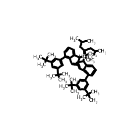 CC(C)C[C](CC(C)C)=[Hf]([CH3])([CH3])([CH]1C=Cc2c(-c3cc(C(C)(C)C)cc(C(C)(C)C)c3)cccc21)[CH]1C=Cc2c(-c3cc(C(C)(C)C)cc(C(C)(C)C)c3)cccc21